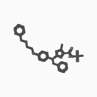 Cc1sc(N(Cc2ccccc2)c2ccc(OCCOCc3ccccc3)cc2)nc1C(=O)NS(C)(=O)=O